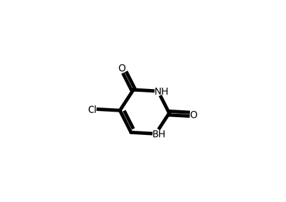 O=C1BC=C(Cl)C(=O)N1